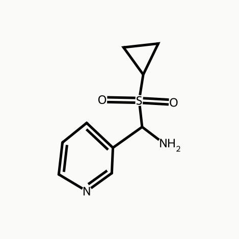 NC(c1cccnc1)S(=O)(=O)C1CC1